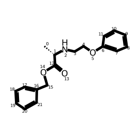 C[C@H](NCCOc1ccccc1)C(=O)OCc1ccccc1